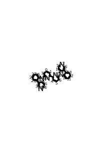 c1cc(-c2cccc(-n3c4ccccc4c4cnccc43)n2)nc(-n2c3ccccc3c3cnccc32)c1